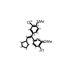 CCc1ccc(/C(=C\C2CCCC2)c2ccc(SC)c(Cl)c2)nc1OC